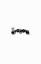 CC(Sc1ncc[nH]1)c1ccc(OC(=O)N2CCN(Cc3ccncn3)CC2)cc1